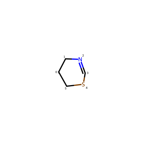 [CH]1CN=CSC1